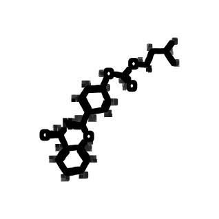 CC(C)CCOC(=O)Oc1ccc(-c2nc(=O)c3ccccc3o2)cc1